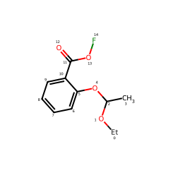 CCOC(C)Oc1ccccc1C(=O)OF